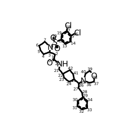 O=C(CC1CCCCN1S(=O)(=O)c1ccc(Cl)c(Cl)c1)NCC1CCC(C(CCc2ccccc2)N2CCOCC2)CC1